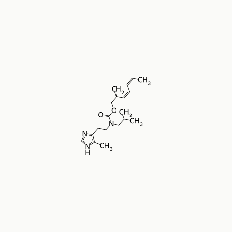 C=C(/C=C\C=C/C)COC(=O)N(CCc1nc[nH]c1C)CC(C)C